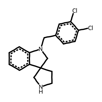 Clc1ccc(CN2CC3(CCNC3)c3ccccc32)cc1Cl